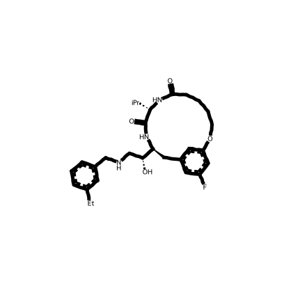 CCc1cccc(CNC[C@@H](O)[C@@H]2Cc3cc(F)cc(c3)OCCCCC(=O)N[C@@H](C(C)C)C(=O)N2)c1